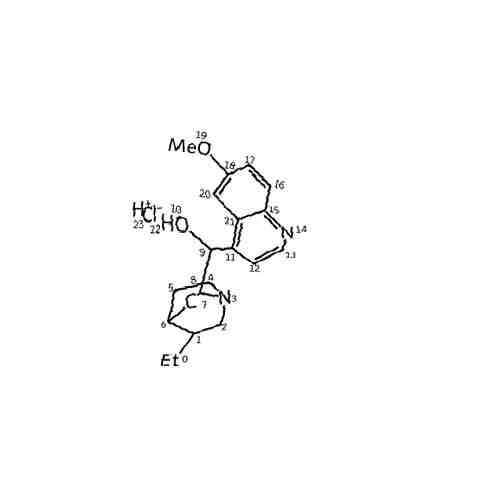 CCC1CN2CCC1CC2C(O)c1ccnc2ccc(OC)cc12.[Cl-].[H+]